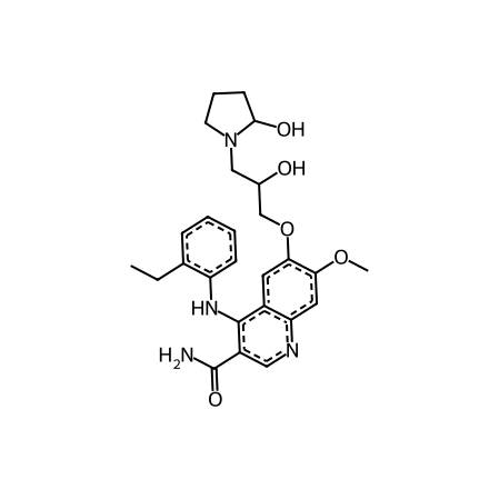 CCc1ccccc1Nc1c(C(N)=O)cnc2cc(OC)c(OCC(O)CN3CCCC3O)cc12